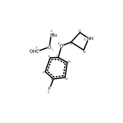 CC(C)(C)OC=O.Fc1ccc(OC2CNC2)cc1